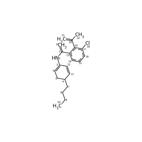 C=C(NC1=CCC(CCCC)C=C1)c1cccc(Cl)c1C(=C)C